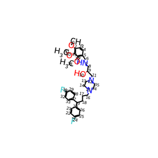 COc1ccc(CNCC(O)CN2CCN(CCCC(c3ccc(F)cc3)c3ccc(F)cc3)CC2)c(OC)c1OC